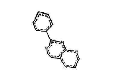 c1ccc(-c2ncc3nccnc3n2)cc1